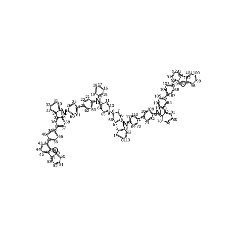 c1ccc(N(c2ccc(-c3ccc(N(c4ccccc4)c4ccc(-c5ccc(-n6c7ccccc7c7cc(-c8ccc(-c9cccc%10c9oc9ccccc9%10)cc8)ccc76)cc5)cc4)cc3)cc2)c2ccc(-c3ccc(-n4c5ccccc5c5cc(-c6ccc(-c7cccc8c7oc7ccccc78)cc6)ccc54)cc3)cc2)cc1